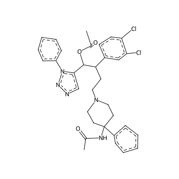 CC(=O)NC1(c2ccccc2)CCN(CCC(c2ccc(Cl)c(Cl)c2)C(OC(C)=O)c2cnnn2-c2ccccc2)CC1